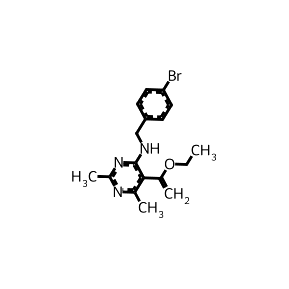 C=C(OCC)c1c(C)nc(C)nc1NCc1ccc(Br)cc1